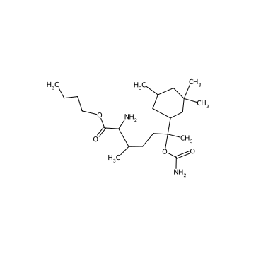 CCCCOC(=O)C(N)C(C)CCC(C)(OC(N)=O)C1CC(C)CC(C)(C)C1